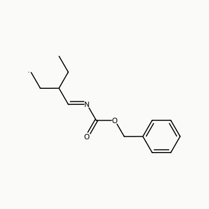 [CH2]CC(C=NC(=O)OCc1ccccc1)CC